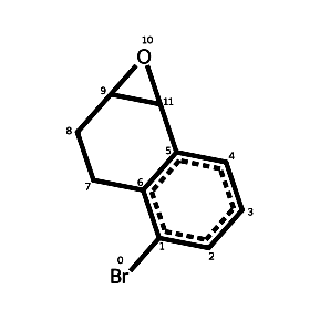 Brc1cccc2c1CCC1OC21